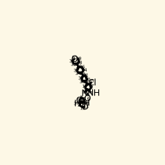 Clc1cc2[nH]c(OC3CO[C@@H]4CCO[C@H]34)nc2cc1-c1ccc(-c2ccc(C3CCOCC3)cc2)cc1